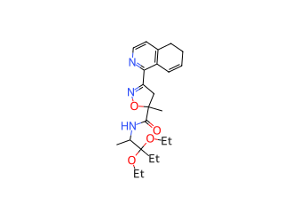 CCOC(CC)(OCC)C(C)NC(=O)C1(C)CC(c2nccc3c2C=CCC3)=NO1